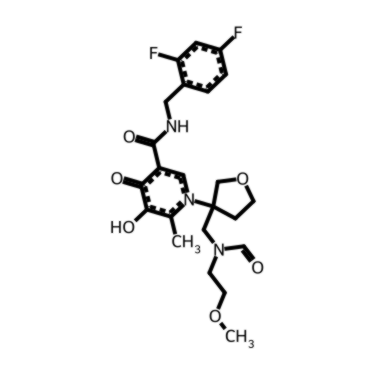 COCCN(C=O)CC1(n2cc(C(=O)NCc3ccc(F)cc3F)c(=O)c(O)c2C)CCOC1